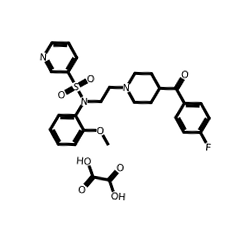 COc1ccccc1N(CCN1CCC(C(=O)c2ccc(F)cc2)CC1)S(=O)(=O)c1cccnc1.O=C(O)C(=O)O